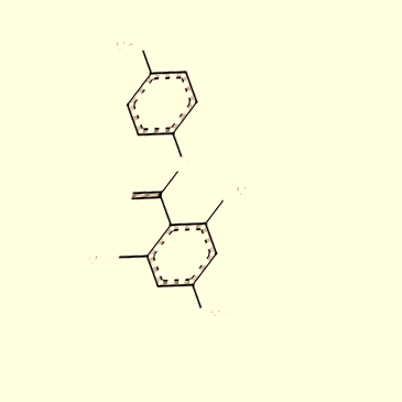 COc1ccc(PC(=O)c2c(OC)cc(OC)cc2OC)cc1.[LiH]